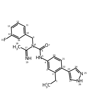 CCc1cc(NC(=O)N(Cc2cccc(F)c2)C(C)=N)ccc1-c1cn[nH]c1